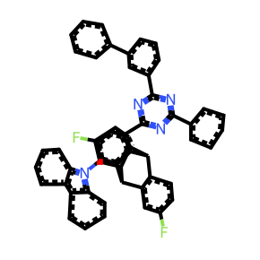 Fc1ccc2c(c1)C1c3cc(F)ccc3C2c2c(-c3nc(-c4ccccc4)nc(-c4cccc(-c5ccccc5)c4)n3)ccc(-n3c4ccccc4c4ccccc43)c21